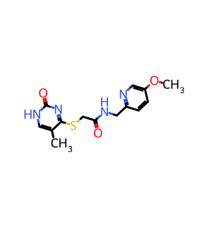 COc1ccc(CNC(=O)CSc2nc(=O)[nH]cc2C)nc1